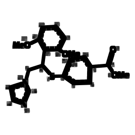 COC(=O)c1ccc(SC(Cn2ccnc2)c2c(OC)cccc2OC)cc1